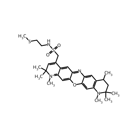 CSCCNS(=O)(=O)CC1=CC(C)(C)[N+](C)=c2cc3c(cc21)=Nc1cc2c(cc1O3)N(C)C(C)(C)CC2C